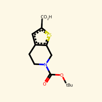 CC(C)(C)OC(=O)N1CCc2cc(C(=O)O)sc2C1